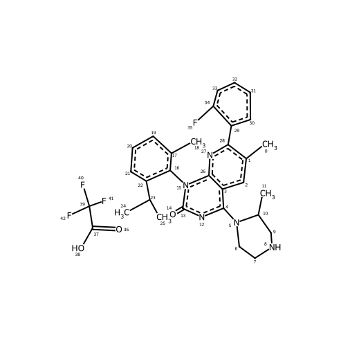 Cc1cc2c(N3CCNCC3C)nc(=O)n(-c3c(C)cccc3C(C)C)c2nc1-c1ccccc1F.O=C(O)C(F)(F)F